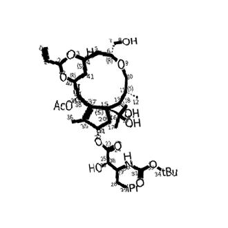 C=CC1O[C@H]2C[C@H](CO)OC[C@H](C)[C@H](O)[C@]3(C(C)(C)O)C[C@H](OC(=O)[C@H](O)C(CC(C)C)NC(=O)OC(C)(C)C)C(C)=C3[C@H](OC(C)=O)[C@@H](C2)O1